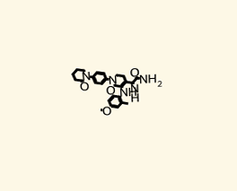 COc1ccc(NC2=C(C(=N)C(N)=O)CCN(c3ccc(N4CCCCC4=O)cc3)C2=O)c(C)c1